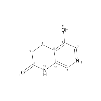 O=C1CCc2c(O)cncc2N1